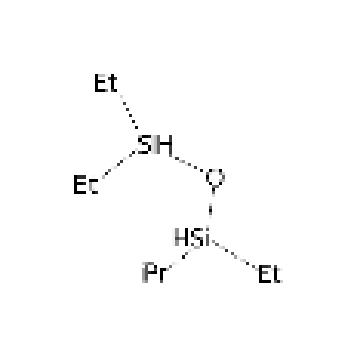 CC[SiH](CC)O[SiH](CC)C(C)C